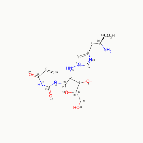 N[C@@H](Cc1cn(NC2C(O)[C@H](CO)O[C@@H]2n2ccc(=O)[nH]c2=O)cn1)C(=O)O